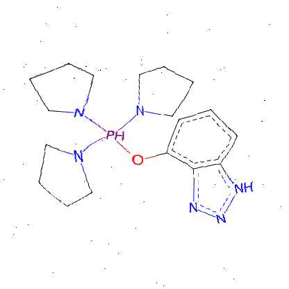 c1cc(O[PH](N2CCCC2)(N2CCCC2)N2CCCC2)c2nn[nH]c2c1